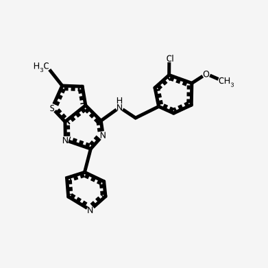 COc1ccc(CNc2nc(-c3ccncc3)nc3sc(C)cc23)cc1Cl